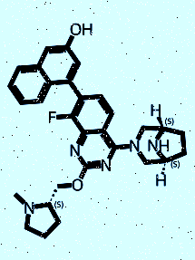 CN1CCC[C@H]1COc1nc(N2C[C@@H]3CC[C@@H](C2)N3)c2ccc(-c3cc(O)cc4ccccc34)c(F)c2n1